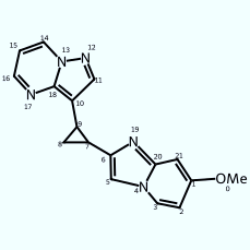 COc1ccn2cc(C3CC3c3cnn4cccnc34)nc2c1